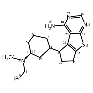 CC(C)CN(C)[C@H]1CCCC(C2CCc3sc4ncnc(N)c4c32)C1